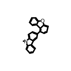 Cn1c2ccccc2c2cc(-c3cccc4oc5ccccc5c34)ccc21